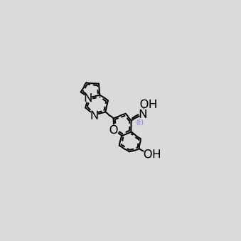 O/N=c1\cc(-c2cc3cccn3cn2)oc2ccc(O)cc12